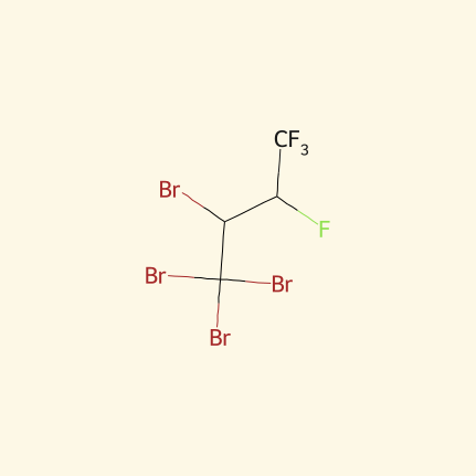 FC(C(Br)C(Br)(Br)Br)C(F)(F)F